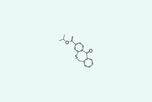 C=C(OC(C)C)c1ccc2c(c1)SCc1ccccc1C2=O